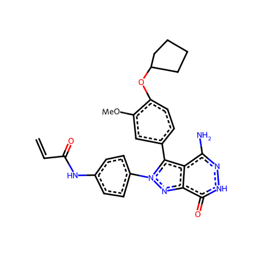 C=CC(=O)Nc1ccc(-n2nc3c(=O)[nH]nc(N)c3c2-c2ccc(OC3CCCC3)c(OC)c2)cc1